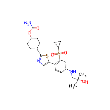 CC(C)(O)CNc1ccc(-c2cnc(C3CCC(OC(N)=O)CC3)s2)c(S(=O)(=O)C2CC2)c1